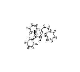 C[C@H](c1cccc2ccccc12)[SiH](c1ccccc1)c1ccccc1